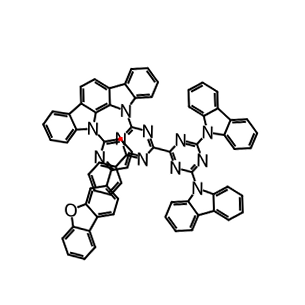 c1ccc(-c2nc(-c3nc(-n4c5ccccc5c5ccccc54)nc(-n4c5ccccc5c5ccccc54)n3)nc(-n3c4ccccc4c4ccc5c6ccccc6n(-c6cccc(-c7ccc8c(c7)oc7ccccc78)n6)c5c43)n2)cc1